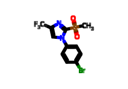 CS(=O)(=O)c1nc(C(F)(F)F)cn1-c1ccc(Br)cc1